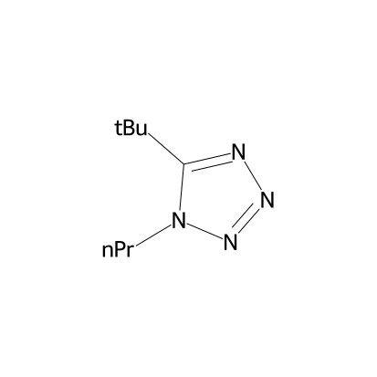 CCCn1nnnc1C(C)(C)C